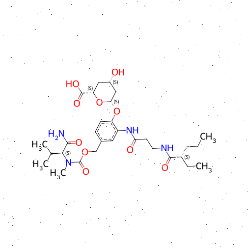 CCC[C@H](CC)C(=O)NCCC(=O)Nc1cc(COC(=O)N(C)[C@H](C(N)=O)C(C)C)ccc1O[C@H]1C[C@@H](O)C[C@@H](C(=O)O)O1